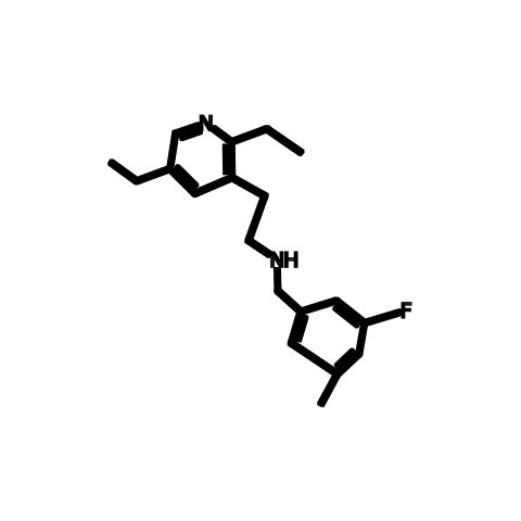 CCc1cnc(CC)c(CCNCc2cc(C)cc(F)c2)c1